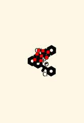 ClCC(OP(OC(CCl)(c1ccccc1)c1ccccc1)OC(CCl)(c1ccccc1)c1ccccc1)(c1ccccc1)c1ccccc1